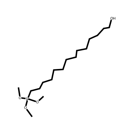 CO[Si](CCCCCCCCCCCCCCO)(OC)OC